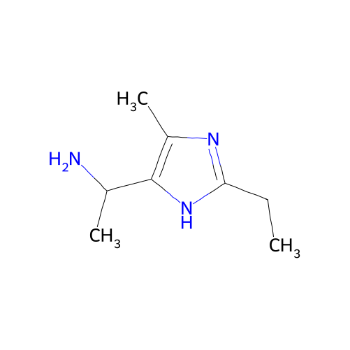 CCc1nc(C)c(C(C)N)[nH]1